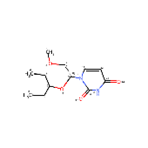 CCC(CC)O[C@H](COC)n1ccc(=O)[nH]c1=O